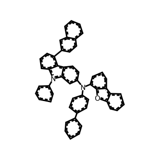 c1ccc(-c2ccc(N(c3ccc4c5c(-c6ccc7ccccc7c6)cccc5n(-c5ccccc5)c4c3)c3cccc4c3oc3ccccc34)cc2)cc1